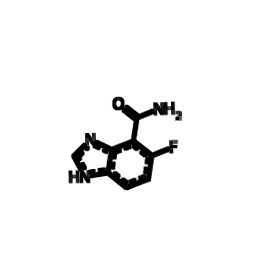 NC(=O)c1c(F)ccc2[nH]cnc12